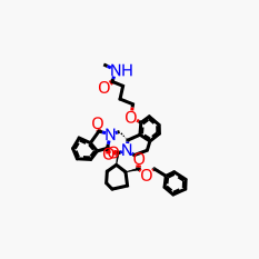 CNC(=O)CCCOc1cccc2c1[C@@H](CN1C(=O)c3ccccc3C1=O)N(C(=O)[C@@H]1CCCC[C@@H]1C(=O)OCc1ccccc1)CC2